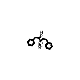 [N-]=[N+]=C1C(Cc2ccccc2)PC1Cc1ccccc1